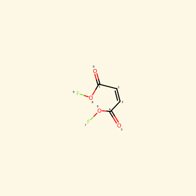 O=C(/C=C\C(=O)OF)OF